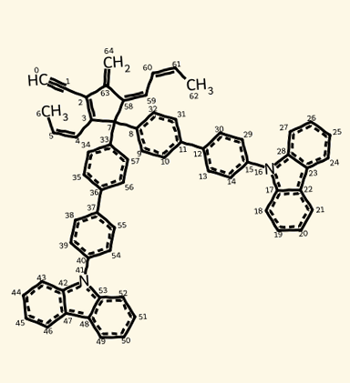 C#CC1=C(/C=C\C)C(c2ccc(-c3ccc(-n4c5ccccc5c5ccccc54)cc3)cc2)(c2ccc(-c3ccc(-n4c5ccccc5c5ccccc54)cc3)cc2)/C(=C/C=C\C)C1=C